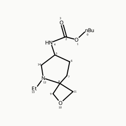 CCCCOC(=O)NC1CCC2(COC2)N(CC)C1